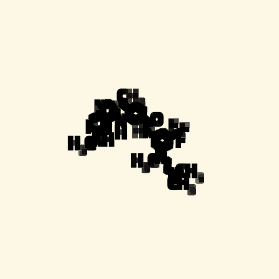 CCc1ccc(C(=O)Nc2cc(N(C)CCN(C)C)cc(C(F)(F)F)c2)cc1Nc1ncnc2cnc(NC)nc12